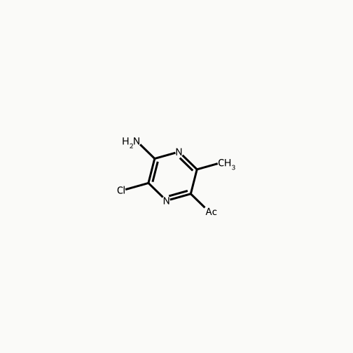 CC(=O)c1nc(Cl)c(N)nc1C